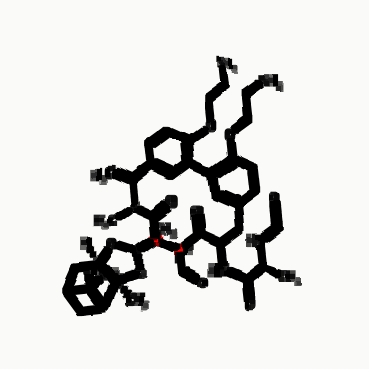 CC(c1ccc(OCCN)c(-c2cc(CC(NC(=O)[C@H](C)NC=O)C(=O)N[C@@H](C)B3O[C@@H]4CC5CC(C5(C)C)[C@]4(C)O3)ccc2OCCN)c1)N(C)C(=O)CNC=O